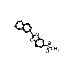 CS(=O)(=O)c1ccc2oc(-c3ccc4ccccc4c3)nc2c1